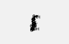 CCNC(=O)c1ccc(Cc2cc3c(=O)n([C@H]4CCOC[C@@H]4O)cnc3c(C)c2C)cc1